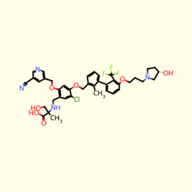 Cc1c(COc2cc(OCc3cncc(C#N)c3)c(CNC(C)(CO)C(=O)O)cc2Cl)cccc1-c1cccc(OCCCN2CC[C@H](O)C2)c1C(F)(F)F